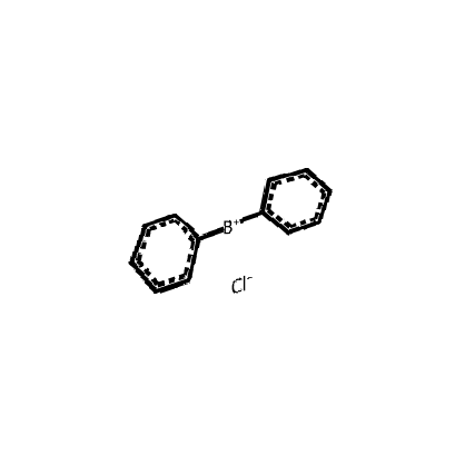 [B+](c1ccccc1)c1ccccc1.[Cl-]